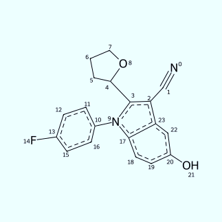 N#Cc1c(C2CCCO2)n(-c2ccc(F)cc2)c2ccc(O)cc12